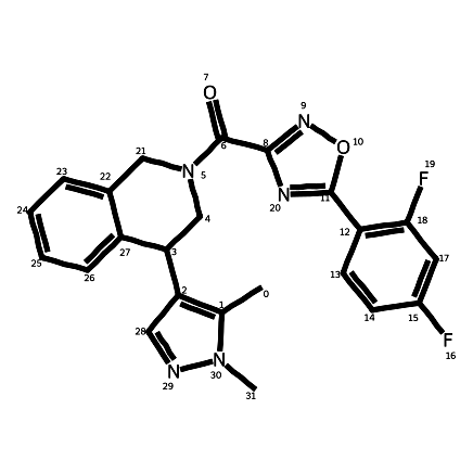 Cc1c(C2CN(C(=O)c3noc(-c4ccc(F)cc4F)n3)Cc3ccccc32)cnn1C